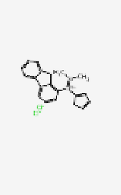 C[Si](C)=[Ti+2]([C]1=CC=CC1)[c]1cccc2c1Cc1ccccc1-2.[Cl-].[Cl-]